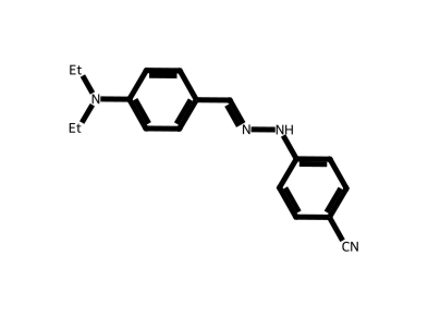 CCN(CC)c1ccc(C=NNc2ccc(C#N)cc2)cc1